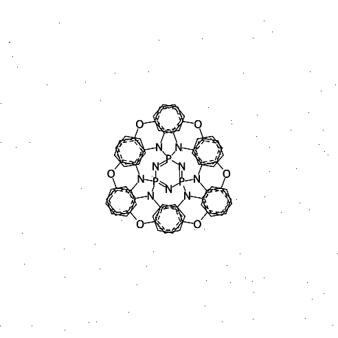 c1ccc2c(c1)Oc1ccccc1N2P1(N2c3ccccc3Oc3ccccc32)=NP(N2c3ccccc3Oc3ccccc32)(N2c3ccccc3Oc3ccccc32)=NP(N2c3ccccc3Oc3ccccc32)(N2c3ccccc3Oc3ccccc32)=N1